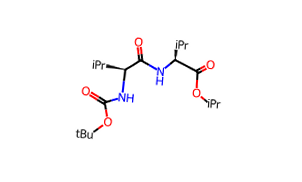 CC(C)OC(=O)[C@@H](NC(=O)[C@@H](NC(=O)OC(C)(C)C)C(C)C)C(C)C